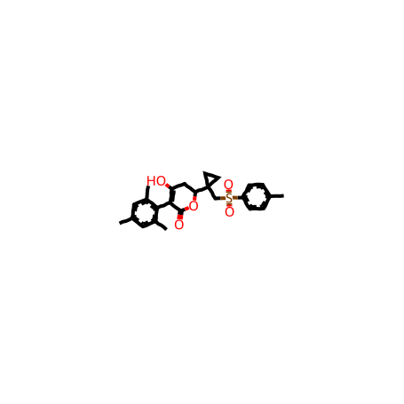 Cc1ccc(S(=O)(=O)CC2(C3CC(O)=C(c4c(C)cc(C)cc4C)C(=O)O3)CC2)cc1